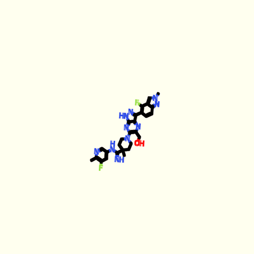 Cc1ncc(NC(=N)C2(C)CCN(c3nc4[nH]nc(-c5ccc6nn(C)cc6c5F)c4nc3CO)CC2)cc1F